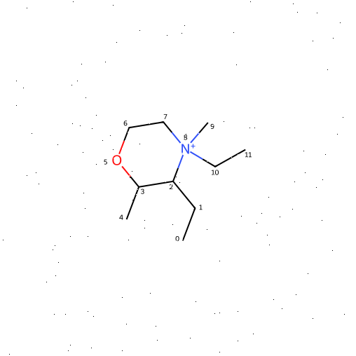 CCC1C(C)OCC[N+]1(C)CC